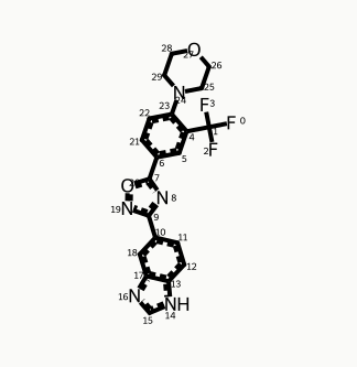 FC(F)(F)c1cc(-c2nc(-c3ccc4[nH]cnc4c3)no2)ccc1N1CCOCC1